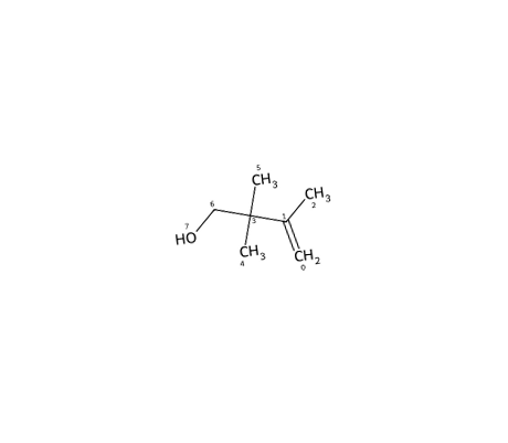 C=C(C)C(C)(C)CO